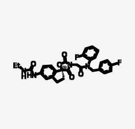 CCNC(=O)Nc1ccc2c(c1)CC[C@@]21OC(=O)N(CC(=O)N(Cc2ccc(F)cc2)c2ccccc2F)C1=O